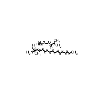 Br.C=C(C)C(=O)OCC.CCCCCCCCCCCCCCCC(C)(C)N